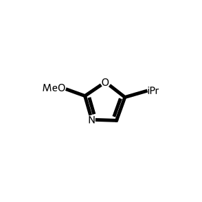 COc1ncc(C(C)C)o1